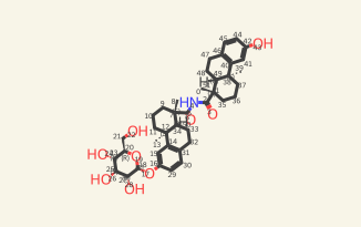 C[C@]1(C(=O)NC(=O)[C@@]2(C)CCC[C@]3(C)c4cc(O[C@@H]5O[C@H](CO)[C@@H](O)[C@H](O)[C@H]5O)ccc4CC[C@@H]23)CCC[C@]2(C)c3cc(O)ccc3CC[C@@H]12